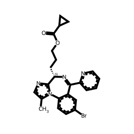 Cc1cnc2n1-c1ccc(Br)cc1C(c1ccccn1)=N[C@H]2CCCOC(=O)C1CC1